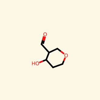 O=CC1COCCC1O